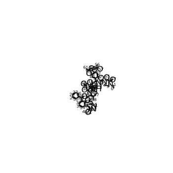 CCN1CCN(C(=O)NC(C(=O)N[C@]2(NC=O)C(=O)N3C(C(=O)OC(c4ccccc4)c4ccccc4)=C(CSc4nnc(OC)s4)CS[C@H]32)c2ccc(OC(C)=O)c(OC(C)=O)c2)C(=O)C1=O